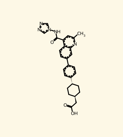 Cc1cc(C(=O)Nn2cnnc2)c2ccc(-c3ccc([C@H]4CC[C@H](CC(=O)O)CC4)cc3)cc2n1